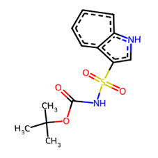 CC(C)(C)OC(=O)NS(=O)(=O)c1c[nH]c2ccccc12